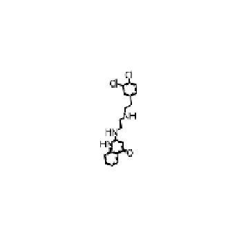 O=c1cc(NCCNCCc2ccc(Cl)c(Cl)c2)[nH]c2ccccc12